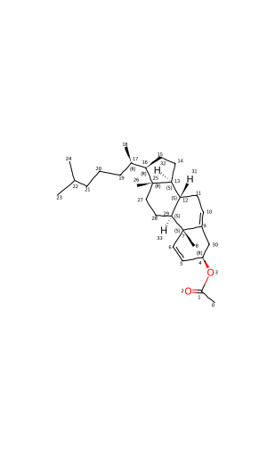 CC(=O)O[C@H]1C=C[C@@]2(C)C(=CC[C@H]3[C@@H]4CC[C@H]([C@H](C)CCCC(C)C)[C@@]4(C)CC[C@@H]32)C1